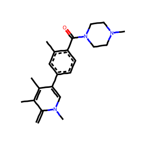 C=C1C(C)=C(C)C(c2ccc(C(=O)N3CCN(C)CC3)c(C)c2)=CN1C